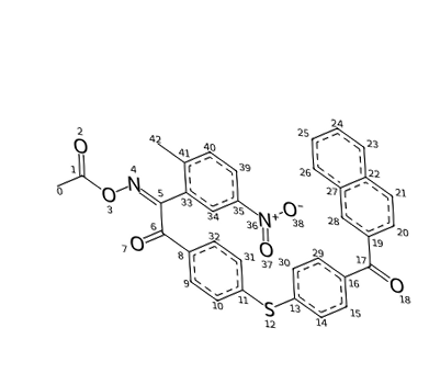 CC(=O)O/N=C(\C(=O)c1ccc(Sc2ccc(C(=O)c3ccc4ccccc4c3)cc2)cc1)c1cc([N+](=O)[O-])ccc1C